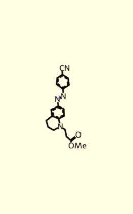 COC(=O)CCN1CCCc2cc(/N=N/c3ccc(C#N)cc3)ccc21